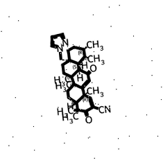 C[C@@H]1[C@H]2[C@H]3C(=O)C=C4[C@@]5(C)C=C(C#N)C(=O)C(C)(C)[C@@H]5CC[C@@]4(C)[C@]3(C)CC[C@@]2(Cn2cccn2)CC[C@H]1C